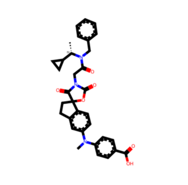 C[C@@H](C1CC1)N(Cc1ccccc1)C(=O)CN1C(=O)OC2(CCc3cc(N(C)c4ccc(C(=O)O)cc4)ccc32)C1=O